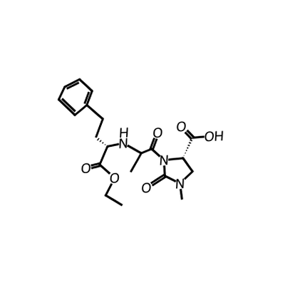 CCOC(=O)[C@H](CCc1ccccc1)NC(C)C(=O)N1C(=O)N(C)C[C@H]1C(=O)O